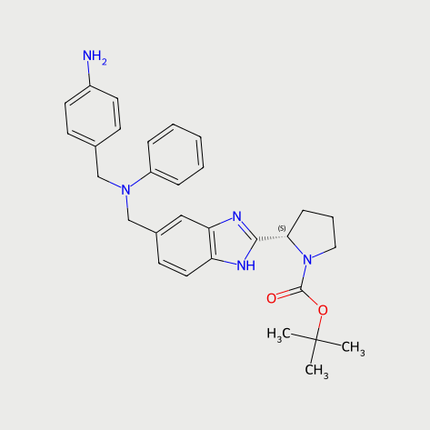 CC(C)(C)OC(=O)N1CCC[C@H]1c1nc2cc(CN(Cc3ccc(N)cc3)c3ccccc3)ccc2[nH]1